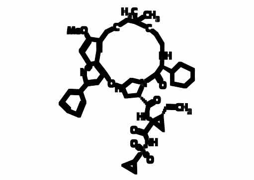 C=C[C@@H]1C[C@]1(NC(=O)[C@@H]1C[C@@H]2CN1C(=O)[C@H](C1CCCCC1)NCCCC(C)(C)CCCc1cc3c(cc(-c4ccccc4)nc3cc1OC)O2)C(=O)NS(=O)(=O)C1CC1